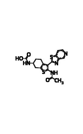 CC(=O)Nc1sc2c(c1-c1nc3cnccc3s1)CCC(NC(=O)O)C2